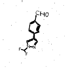 O=Cc1ccc(-c2cnn(C(F)F)c2)cc1